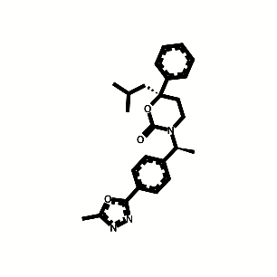 Cc1nnc(-c2ccc([C@H](C)N3CC[C@](CC(C)C)(c4ccccc4)OC3=O)cc2)o1